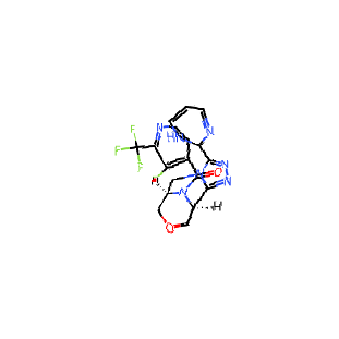 O=C(c1ccnc(C(F)(F)F)c1F)N1[C@H]2COC[C@@H]1c1nnc(C3N=CC=CN3)n1C2